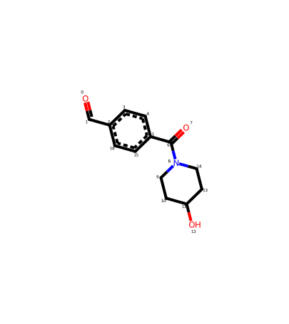 O=Cc1ccc(C(=O)N2CCC(O)CC2)cc1